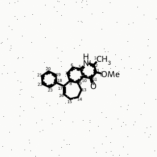 COc1c(C)[nH]c2ccc3c(c2c1=O)CCCC=C3c1ccccc1